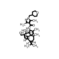 CC1=CC23C(=O)[C@@H](C=C(CO)[C@@H](O)[C@]2(O)[C@H]1OC(=O)c1c(C)nn(CC2CCOCC2)c1C)[C@H]1[C@@H](CC3C)C1(C)C